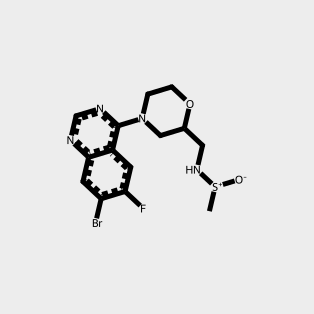 C[S+]([O-])NCC1CN(c2ncnc3cc(Br)c(F)cc23)CCO1